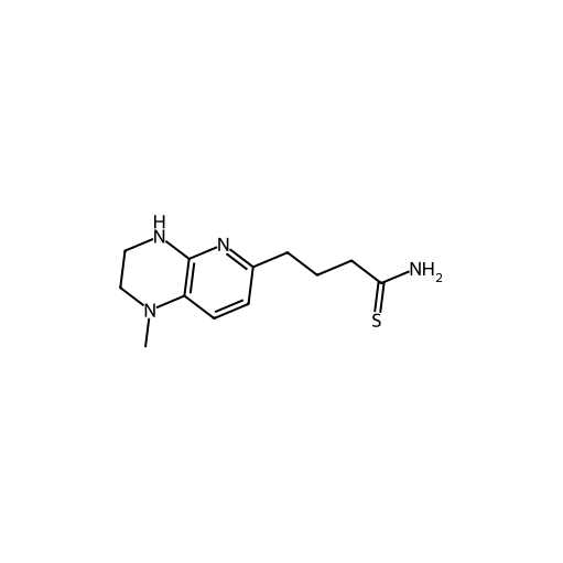 CN1CCNc2nc(CCCC(N)=S)ccc21